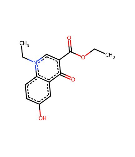 CCOC(=O)c1cn(CC)c2ccc(O)cc2c1=O